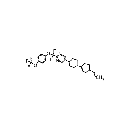 C/C=C/C1CC=C(C2CCC(c3cnc(C(F)(F)Oc4ccc(OC(F)(F)F)cc4)nc3)CC2)CC1